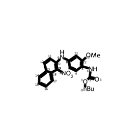 CCCCOC(=O)Nc1ccc(Nc2ccc3ccccc3c2[N+](=O)[O-])cc1OC